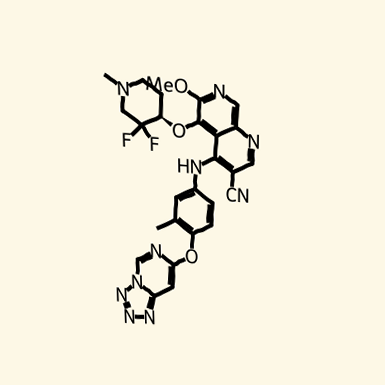 COc1ncc2ncc(C#N)c(Nc3ccc(Oc4cc5nnnn5cn4)c(C)c3)c2c1O[C@@H]1CCN(C)CC1(F)F